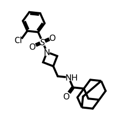 O=C(NCC1CN(S(=O)(=O)c2ccccc2Cl)C1)C12CC3CC(CC(C3)C1)C2